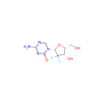 Nc1ncn([C@@H]2O[C@H](CO)[C@H](O)C2(F)F)c(=O)n1